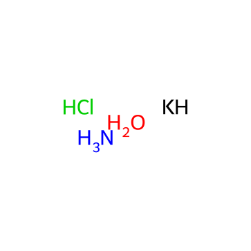 Cl.N.O.[KH]